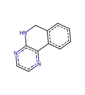 c1ccc2c(c1)CNc1nccnc1-2